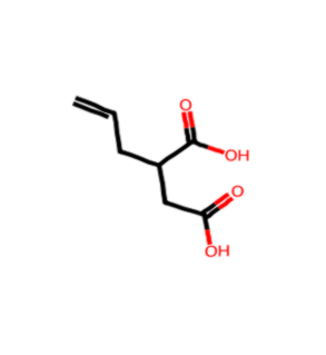 C=CCC(CC(=O)O)C(=O)O